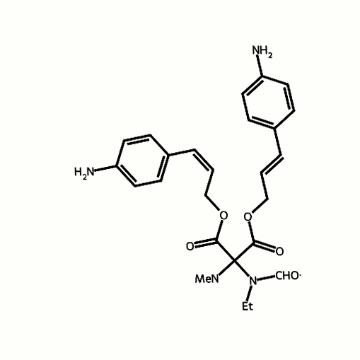 CCN([C]=O)C(NC)(C(=O)OCC=Cc1ccc(N)cc1)C(=O)OCC=Cc1ccc(N)cc1